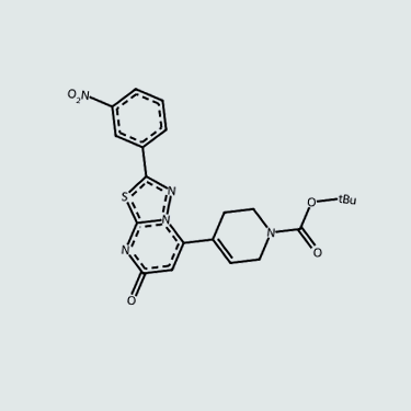 CC(C)(C)OC(=O)N1CC=C(c2cc(=O)nc3sc(-c4cccc([N+](=O)[O-])c4)nn23)CC1